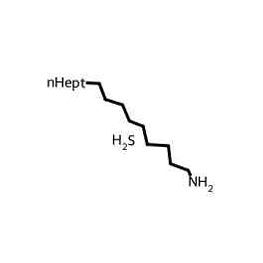 CCCCCCCCCCCCCCCCN.S